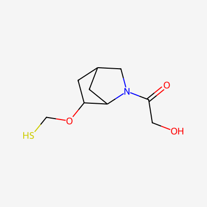 O=C(CO)N1CC2CC(OCS)C1C2